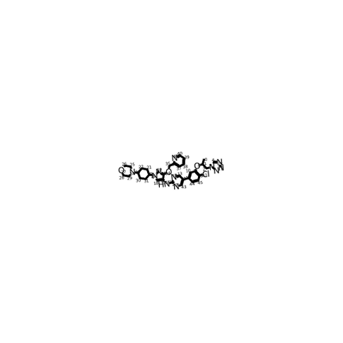 CC(Cn1cnnn1)Oc1cc(-c2cnc(Nc3cn(C4CCC(N5CCOCC5)CC4)nc3OCc3ccccn3)nc2)ccc1Cl